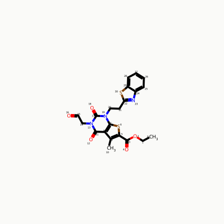 CCOC(=O)c1sc2c(c1C)c(=O)n(CC=O)c(=O)n2CCc1nc2ccccc2s1